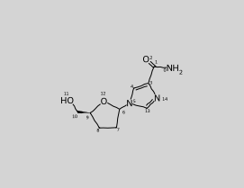 NC(=O)c1cn(C2CC[C@@H](CO)O2)cn1